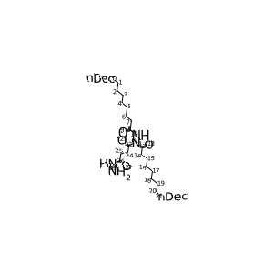 CCCCCCCCCCCCCCCCCC(=O)NN(C(=O)CCCCCCCCCCCCCCCCC)C(=O)CCC(=O)NN